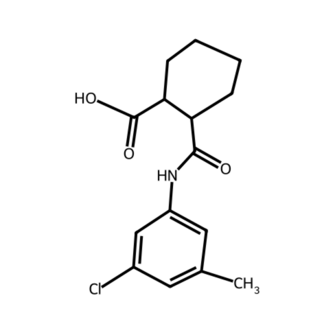 Cc1cc(Cl)cc(NC(=O)C2CCCCC2C(=O)O)c1